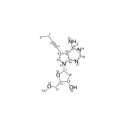 CCC#Cc1cn(C2CC(O)C(COC)O2)c2ncnc(N)c12